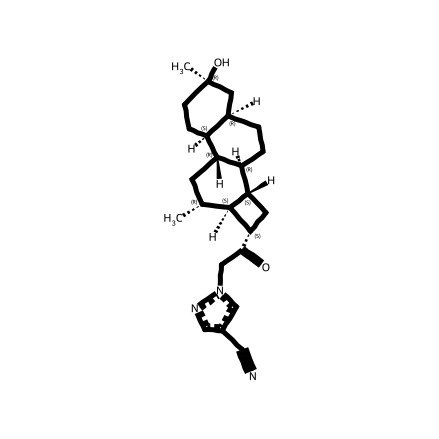 C[C@@H]1C[C@H]2[C@@H](CC[C@@H]3C[C@](C)(O)CC[C@@H]32)[C@@H]2C[C@H](C(=O)Cn3cc(C#N)cn3)[C@H]21